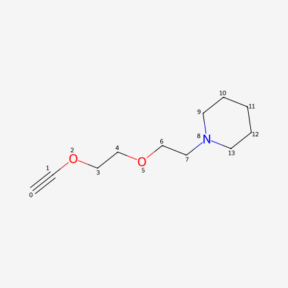 C#COCCOCCN1CCCCC1